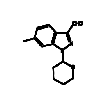 Cc1ccc2c(C=O)nn(C3CCCCO3)c2c1